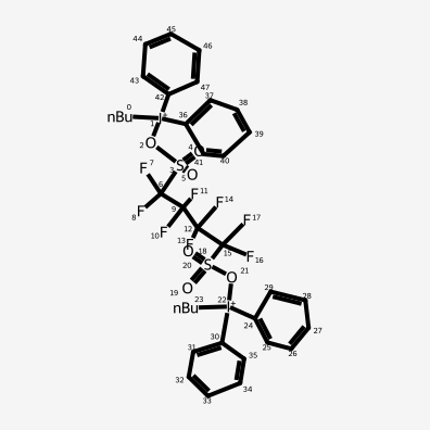 CCCC[I+](OS(=O)(=O)C(F)(F)C(F)(F)C(F)(F)C(F)(F)S(=O)(=O)O[I+](CCCC)(c1ccccc1)c1ccccc1)(c1ccccc1)c1ccccc1